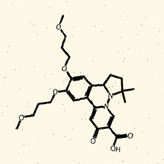 COCCCOc1cc2c(cc1OCCCOC)C1CCC(C)(C)N1n1cc(C(=O)O)c(=O)cc1-2